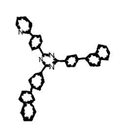 c1ccc(-c2ccc(-c3nc(-c4ccc(-c5ccc6ccccc6c5)cc4)nc(-c4ccc(-c5ccc6ccccc6c5)cc4)n3)cc2)nc1